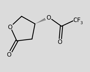 O=C1C[C@@H](OC(=O)C(F)(F)F)CO1